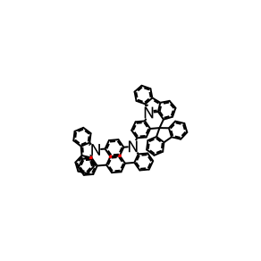 c1ccc(-c2ccc(-c3ccccc3N(c3ccc(-n4c5ccccc5c5ccccc54)cc3)c3ccc4c(c3)C3(c5ccccc5-c5ccccc53)c3cccc5c6ccccc6n-4c35)cc2)cc1